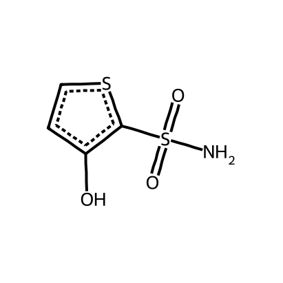 NS(=O)(=O)c1sccc1O